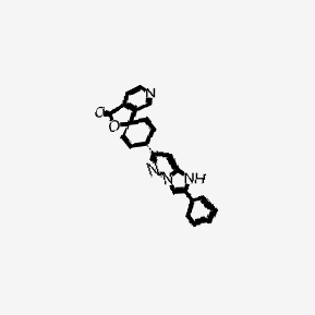 O=C1O[C@]2(CC[C@@H](c3cc4[nH]c(-c5ccccc5)cn4n3)CC2)c2cnccc21